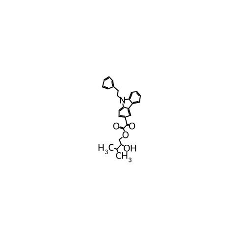 CC(C)C(O)COC(=O)C(=O)c1ccc2c(c1)c1ccccc1n2CCc1ccccc1